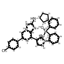 Cn1cc(-c2nc(-c3ccc(Cl)cc3)cn3nc(N[C@@H]4CCC[C@@H]4O[Si](c4ccccc4)(c4ccccc4)C(C)(C)C)nc23)cn1